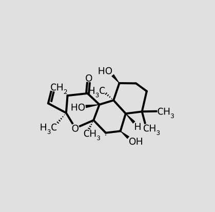 C=C[C@@]1(C)CC(=O)[C@]2(O)[C@@]3(C)[C@@H](O)CCC(C)(C)[C@@H]3[C@@H](O)[CH][C@@]2(C)O1